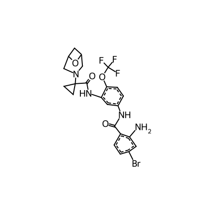 Nc1cc(Br)ccc1C(=O)Nc1ccc(OC(F)(F)F)c(NC(=O)C2(N3CC4CC(C3)O4)CC2)c1